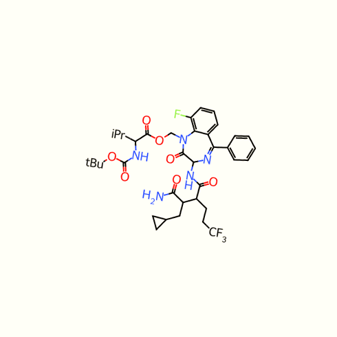 CC(C)C(NC(=O)OC(C)(C)C)C(=O)OCN1C(=O)C(NC(=O)C(CCC(F)(F)F)C(CC2CC2)C(N)=O)N=C(c2ccccc2)c2cccc(F)c21